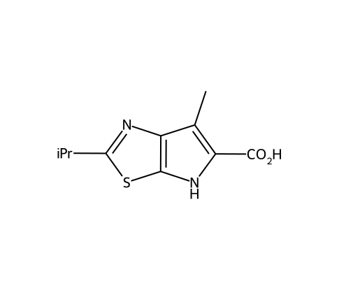 Cc1c(C(=O)O)[nH]c2sc(C(C)C)nc12